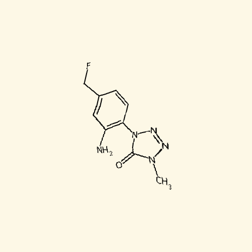 Cn1nnn(-c2ccc(CF)cc2N)c1=O